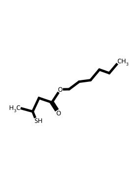 CCCCCCOC(=O)CC(C)S